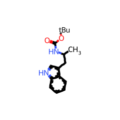 CC(Cc1c[nH]c2ccccc12)NC(=O)OC(C)(C)C